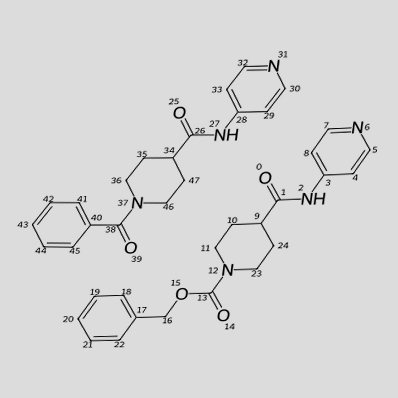 O=C(Nc1ccncc1)C1CCN(C(=O)OCc2ccccc2)CC1.O=C(Nc1ccncc1)C1CCN(C(=O)c2ccccc2)CC1